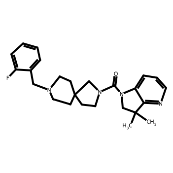 CC1(C)CN(C(=O)N2CCC3(CCN(Cc4ccccc4F)CC3)C2)c2cccnc21